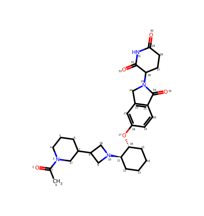 CC(=O)N1CCCC(C2CN([C@@H]3CCCC[C@H]3Oc3ccc4c(c3)CN(C3CCC(=O)NC3=O)C4=O)C2)C1